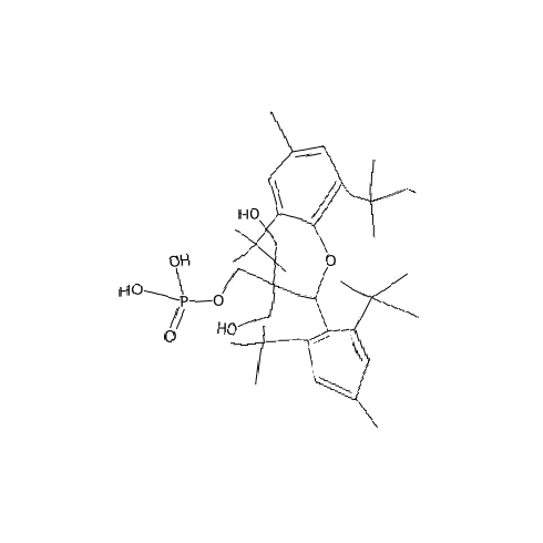 Cc1cc(C(C)(C)C)c(OC(c2c(C(C)(C)C)cc(C)cc2C(C)(C)C)C(CO)(CO)COP(=O)(O)O)c(C(C)(C)C)c1